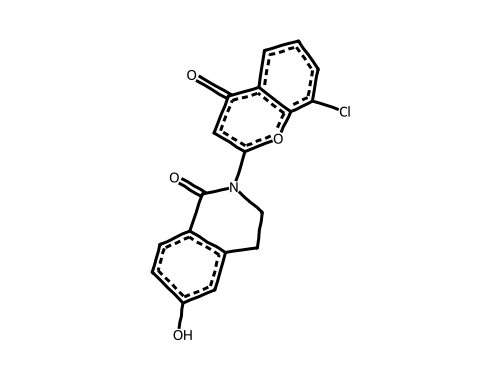 O=C1c2ccc(O)cc2CCN1c1cc(=O)c2cccc(Cl)c2o1